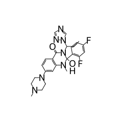 CCC(N1C(=O)c2ccc(N3CCN(C)CC3)cc2N(C)C1(O)c1ccc(F)cc1F)n1cncn1